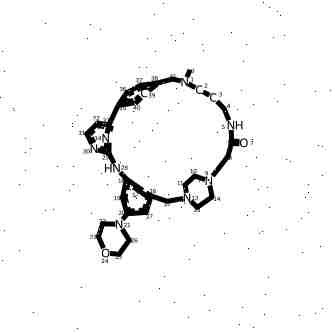 CN1CCCNC(=O)CN2CCN(CC2)Cc2cc(cc(N3CCOCC3)c2)Nc2nccc(n2)-c2ccc(cc2)C1